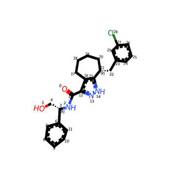 O=C(N[C@@H](CO)c1ccccc1)c1n[nH]c2c1CCCC[C@@H]2Cc1cccc(Cl)c1